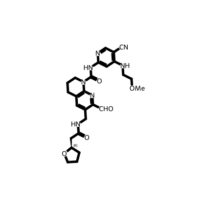 COCCNc1cc(NC(=O)N2CCCc3cc(CNC(=O)C[C@H]4CCCO4)c(C=O)nc32)ncc1C#N